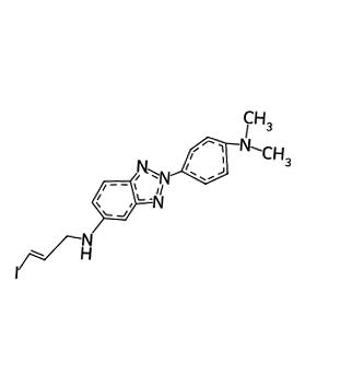 CN(C)c1ccc(-n2nc3ccc(NCC=CI)cc3n2)cc1